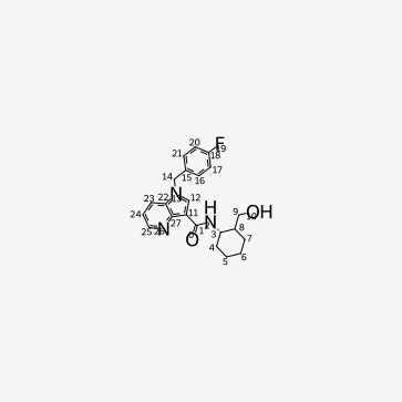 O=C(N[C@H]1CCCCC1CO)c1cn(Cc2ccc(F)cc2)c2cccnc12